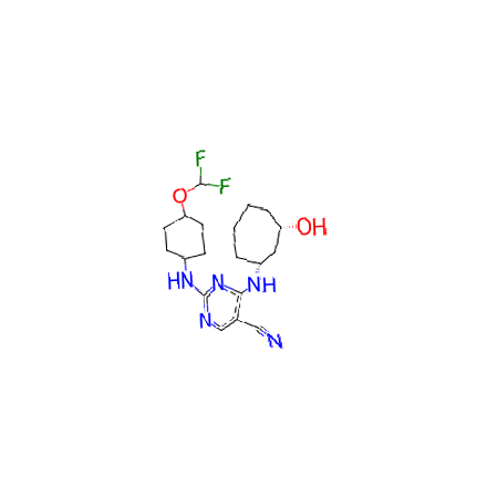 N#Cc1cnc(NC2CCC(OC(F)F)CC2)nc1N[C@@H]1CCCC[C@H](O)C1